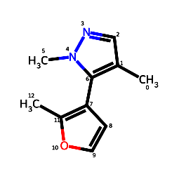 Cc1cnn(C)c1-c1ccoc1C